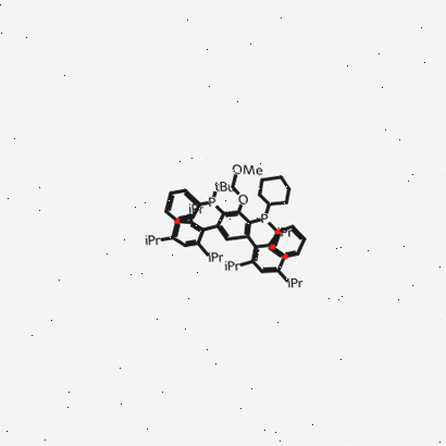 COCOc1c(P(c2ccccc2)C2CCCCC2)c(-c2c(C(C)C)cc(C(C)C)cc2C(C)C)cc(-c2c(C(C)C)cc(C(C)C)cc2C(C)C)c1P(c1ccccc1)C(C)(C)C